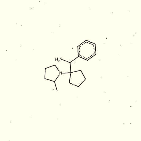 CC1CCCN1C1(C(N)c2ccccc2)CCCC1